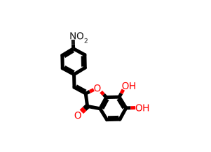 O=C1C(=Cc2ccc([N+](=O)[O-])cc2)Oc2c1ccc(O)c2O